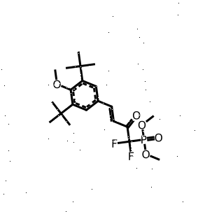 COc1c(C(C)(C)C)cc(C=CC(=O)C(F)(F)P(=O)(OC)OC)cc1C(C)(C)C